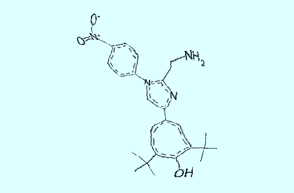 CC(C)(C)c1cc(-c2cn(-c3ccc([N+](=O)[O-])cc3)c(CN)n2)cc(C(C)(C)C)c1O